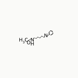 CC(=O)CNCCCCCC/N=C/c1ccccc1